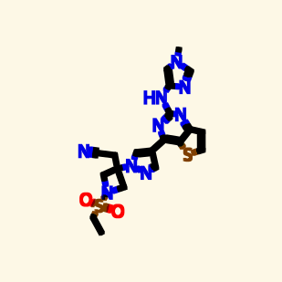 CCS(=O)(=O)N1CC(CC#N)(n2cc(-c3nc(Nc4cn(C)cn4)nc4ccsc34)cn2)C1